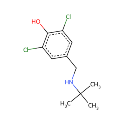 CC(C)(C)NCc1cc(Cl)c(O)c(Cl)c1